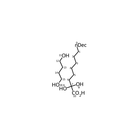 CCCCCCCCCCCCCCCCC(O)(O)C(=O)O.OCCCCO